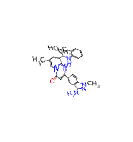 Cc1cc([C@@H](C)Nc2ccccc2C(=O)O)c2nc(-c3ccc4c(c3)c(N)nn4C)cc(=O)n2c1